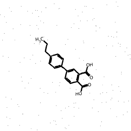 CCCc1ccc(-c2ccc(C(=O)O)c(C(=O)O)c2)cc1